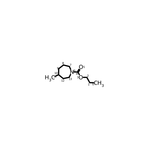 CCCOC(=O)N1CCCC(C)CC1